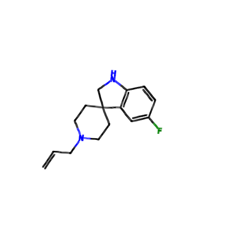 C=CCN1CCC2(CC1)CNc1ccc(F)cc12